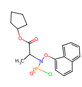 CC(C(=O)OC1CCCC1)N(Oc1cccc2ccccc12)[PH](=O)Cl